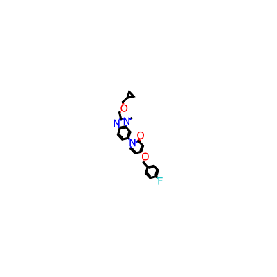 Cn1c(COCC2CC2)nc2ccc(-n3ccc(OCc4ccc(F)cc4)cc3=O)cc21